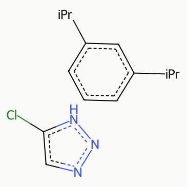 CC(C)c1cccc(C(C)C)c1.Clc1cnn[nH]1